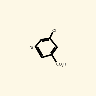 O=C(O)c1cccc(Cl)c1.[Ni]